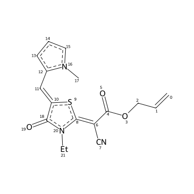 C=CCOC(=O)/C(C#N)=c1\sc(=Cc2cccn2C)c(=O)n1CC